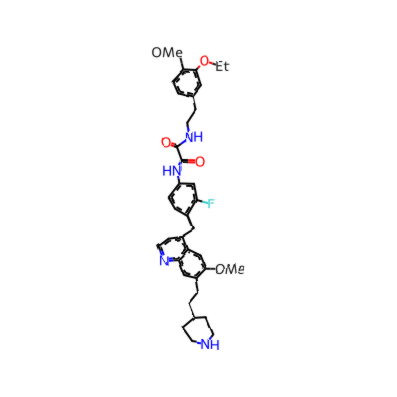 CCOc1cc(CCNC(=O)C(=O)Nc2ccc(Cc3ccnc4cc(CCC5CCNCC5)c(OC)cc34)c(F)c2)ccc1OC